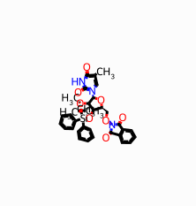 COC1C(O[Si](c2ccccc2)(c2ccccc2)C(C)(C)C)[C@H](CON2C(=O)c3ccccc3C2=O)O[C@@H]1n1cc(C)c(=O)[nH]c1=O